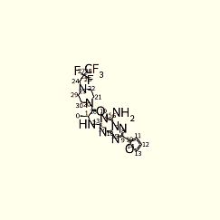 C[C@H](Nc1nc(N)n2nc(-c3ccco3)nc2n1)C(=O)N1CCN(CC(F)(F)C(F)(F)F)CC1